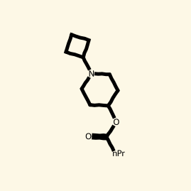 CCCC(=O)OC1CCN(C2CCC2)CC1